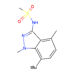 Cc1ccc(C(C)(C)C)c2c1c(NS(C)(=O)=O)nn2C